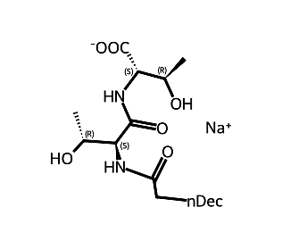 CCCCCCCCCCCC(=O)N[C@H](C(=O)N[C@H](C(=O)[O-])[C@@H](C)O)[C@@H](C)O.[Na+]